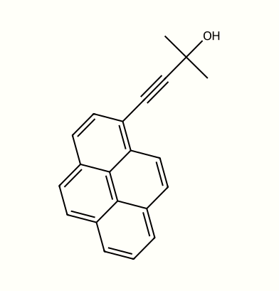 CC(C)(O)C#Cc1ccc2ccc3cccc4ccc1c2c34